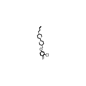 C=CCC[C@H]1CC[C@H]([C@H]2CC[C@H](COc3ccc(F)c(Cl)c3)CC2)CC1